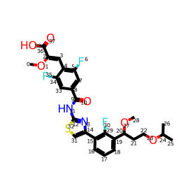 CO/C(=C\c1c(F)cc(C(=O)Nc2nc(-c3cccc(C(CCOC(C)C)OC)c3F)cs2)cc1F)C(=O)O